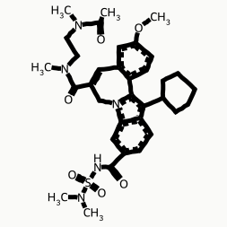 COc1ccc2c(c1)C=C(C(=O)N(C)CCN(C)C(C)=O)Cn1c-2c(C2CCCCC2)c2ccc(C(=O)NS(=O)(=O)N(C)C)cc21